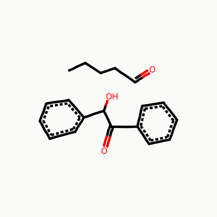 CCCCC=O.O=C(c1ccccc1)C(O)c1ccccc1